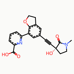 CN1CC[C@@](O)(C#Cc2cc3c(c(-c4cccc(C(=O)O)n4)c2)OCC3)C1=O